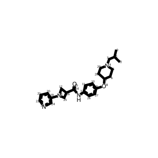 CC(C)CN1CCC(Oc2ccc(NC(=O)C3CN(c4cccnc4)C3)cc2)CC1